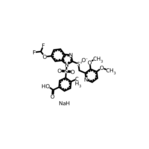 COc1ccnc(C[S+]([O-])c2nc3ccc(OC(F)F)cc3n2S(=O)(=O)c2cc(C(=O)O)ccc2C)c1OC.[NaH]